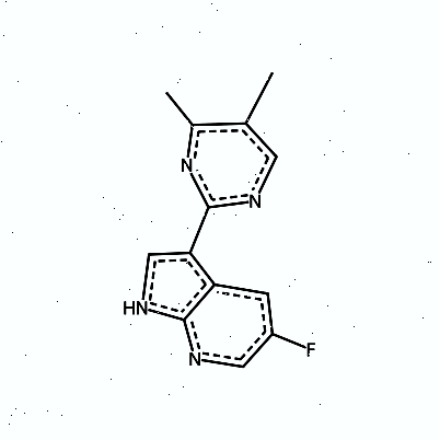 Cc1cnc(-c2c[nH]c3ncc(F)cc23)nc1C